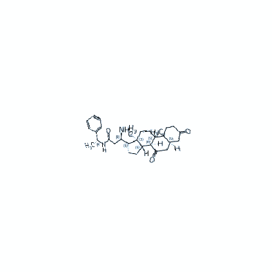 C[C@@H](NC(=O)C[C@@H](N)[C@H]1CC[C@H]2[C@@H]3C(=O)C[C@@H]4CC(=O)CC[C@]4(C)[C@H]3CC[C@]12C)c1ccccc1